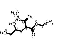 CCOC(=O)C(CC(O)CO)C(=O)OC